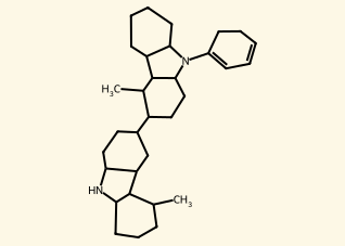 CC1CCCC2NC3CCC(C4CCC5C(C4C)C4CCCCC4N5C4=CC=CCC4)CC3C12